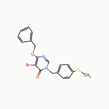 CSc1ccc(Cn2cnc(OCc3ccccc3)c(Br)c2=O)cc1